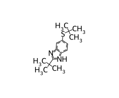 CC(C)(C)Sc1ccc2[nH]c(C(C)(C)C)nc2c1